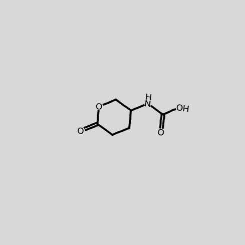 O=C(O)NC1CCC(=O)OC1